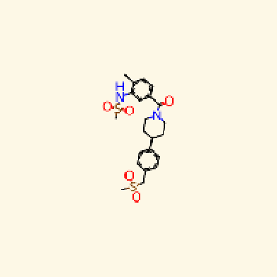 Cc1ccc(C(=O)N2CCC(c3ccc(CS(C)(=O)=O)cc3)CC2)cc1NS(C)(=O)=O